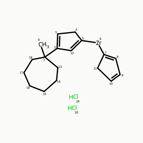 CC1(C2=CC[C]([Zr][C]3=CC=CC3)=C2)CCCCCC1.Cl.Cl